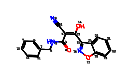 N#CC(C(=O)NCc1ccccc1)=C(O)c1noc2ccccc12